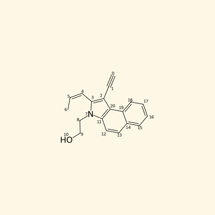 C#Cc1c(/C=C\C)n(CCO)c2ccc3ccccc3c12